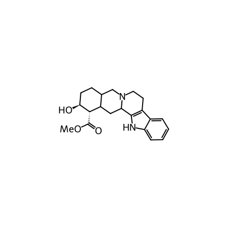 COC(=O)[C@H]1C2CC3c4[nH]c5ccccc5c4CCN3CC2CC[C@@H]1O